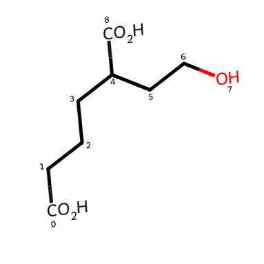 O=C(O)CCCC(CCO)C(=O)O